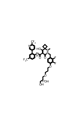 CN1N(Cc2ccc(OCCCOC[C@H](O)CO)c(F)c2F)C(=O)C(C(=O)Nc2ccc(C(F)(F)F)cc2-c2ccc(C(F)(F)F)nc2)=C(O)C12CCC2